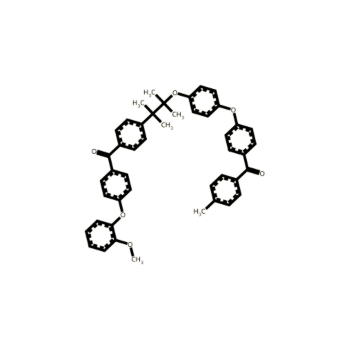 COc1ccccc1Oc1ccc(C(=O)c2ccc(C(C)(C)C(C)(C)Oc3ccc(Oc4ccc(C(=O)c5ccc(C)cc5)cc4)cc3)cc2)cc1